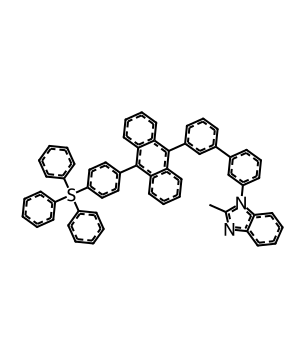 Cc1nc2ccccc2n1-c1cccc(-c2cccc(-c3c4ccccc4c(-c4ccc(S(c5ccccc5)(c5ccccc5)c5ccccc5)cc4)c4ccccc34)c2)c1